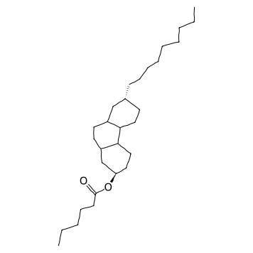 CCCCCCCCC[C@@H]1CCC2C(CCC3C[C@H](OC(=O)CCCCC)CCC32)C1